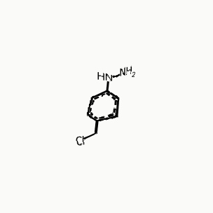 NNc1ccc(CCl)cc1